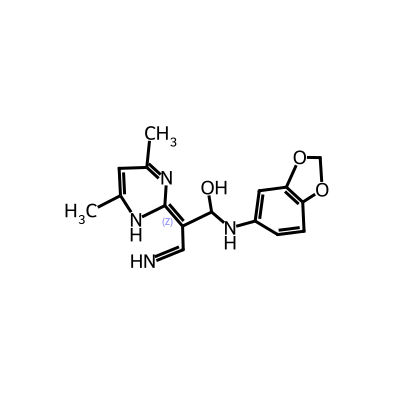 CC1=CC(C)=N/C(=C(/C=N)C(O)Nc2ccc3c(c2)OCO3)N1